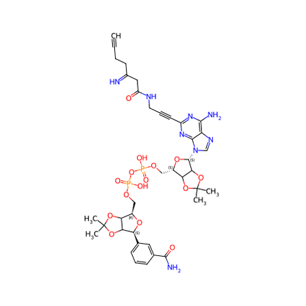 C#CCCC(=N)CC(=O)NCC#Cc1nc(N)c2ncn([C@H]3O[C@@H](COP(=O)(O)OP(=O)(O)OC[C@H]4O[C@@H](c5cccc(C(N)=O)c5)C5OC(C)(C)OC54)C4OC(C)(C)OC43)c2n1